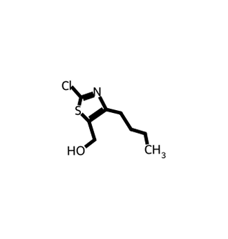 CCCCc1nc(Cl)sc1CO